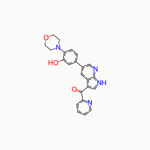 O=C(c1ccccn1)c1c[nH]c2ncc(-c3ccc(N4CCOCC4)c(O)c3)cc12